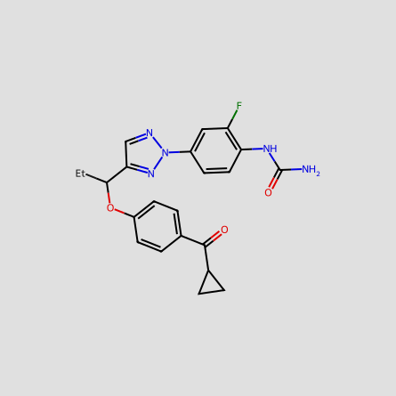 CCC(Oc1ccc(C(=O)C2CC2)cc1)c1cnn(-c2ccc(NC(N)=O)c(F)c2)n1